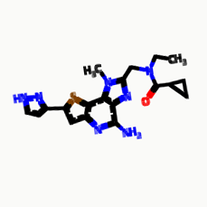 CCN(Cc1nc2c(N)nc3cc(-c4cc[nH]n4)sc3c2n1C)C(=O)C1CC1